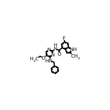 CCOc1cnc(NC(=O)c2cc(F)cc3[nH]c(C)cc23)nc1NCc1ccccc1